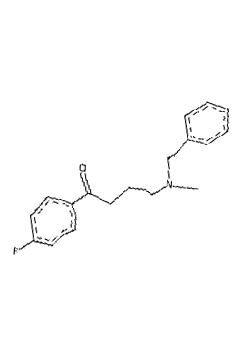 CN(CCCC(=O)c1ccc(F)cc1)Cc1ccccc1